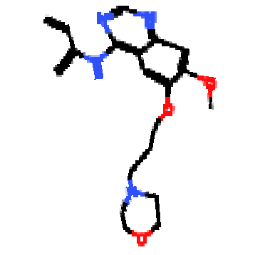 C=CC(=C)Nc1ncnc2cc(OC)c(OCCCN3CCOCC3)cc12